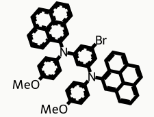 COc1ccc(N(C2=C3C=CC=C4C=CC5=CC=CC(=C2)C5C43)c2cc(Br)cc(N(c3ccc(OC)cc3)c3cc4cccc5ccc6cccc3c6c54)c2)cc1